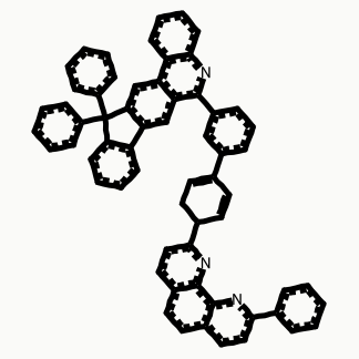 C1=CC(c2ccc3ccc4ccc(-c5ccccc5)nc4c3n2)CC=C1c1cccc(-c2nc3ccccc3c3cc4c(cc23)-c2ccccc2C4(c2ccccc2)c2ccccc2)c1